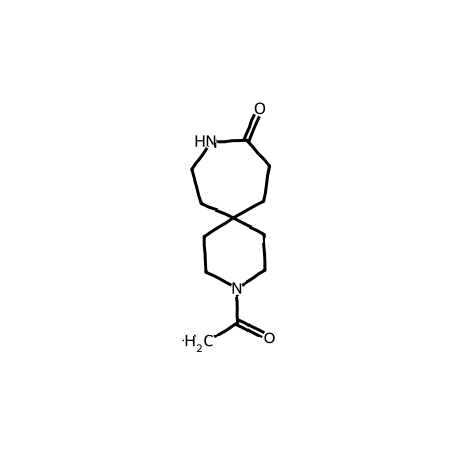 [CH2]C(=O)N1CCC2(CCNC(=O)CC2)CC1